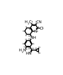 Cc1c(C#N)c(Cl)nc2c1CCCC2Nc1ccc(N)c(C(=N)C2CC2)c1